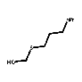 [CH2]CCCCCSCO